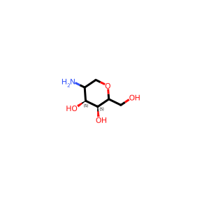 NC1COC(CO)[C@@H](O)[C@H]1O